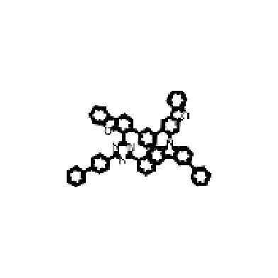 c1ccc(-c2ccc(-c3nc(-c4ccccc4)nc(-c4c(-c5cccc(-c6cc7c(cc6-n6c8ccccc8c8cc(-c9ccccc9)ccc86)oc6ccccc67)c5)ccc5c4oc4ccccc45)n3)cc2)cc1